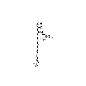 CCCCCCCCCCCCCCC/C(=C/C(=O)OC)NCCN(C)C